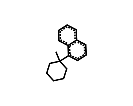 CC1(c2cccc3ccccc23)CCCCC1